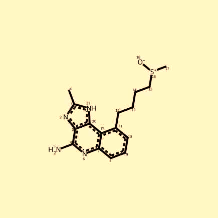 Cc1nc2c(N)nc3cccc(CCCC[S+](C)[O-])c3c2[nH]1